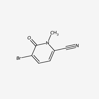 Cn1c(C#N)ccc(Br)c1=O